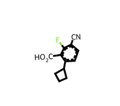 N#Cc1ccc(C2CCC2)c(C(=O)O)c1F